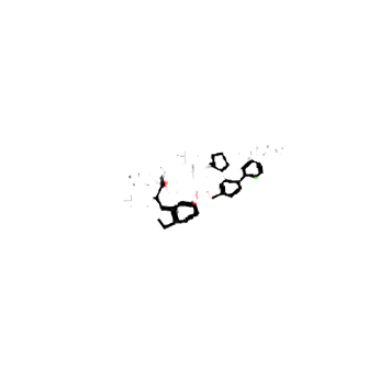 COC(=O)[C@H](C)[C@@H]1CCc2ccc(OCc3ccc(-c4cc(OC)ccc4F)c([C@@H]4CCCC4(C)C)c3)cc21